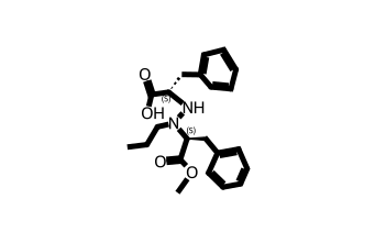 CCCN(N[C@@H](Cc1ccccc1)C(=O)O)[C@@H](Cc1ccccc1)C(=O)OC